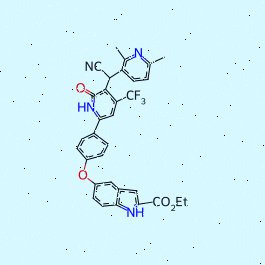 CCOC(=O)c1cc2cc(Oc3ccc(-c4cc(C(F)(F)F)c(C(C#N)c5ccc(C)nc5C)c(=O)[nH]4)cc3)ccc2[nH]1